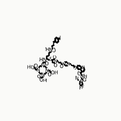 N#C[C@H]1CC(F)(F)CN1C(=O)CNC(=O)c1ccnc2ccc(OCCCN3CCN(C(=O)CCCN4C(=O)CC(SCC(CCCCNC(=O)CCCc5ccc(I)cc5)NC(=O)CN5CCN(CC(=O)O)CCN(CC(=O)O)CCN(CC(=O)O)CC5)C4=O)CC3)cc12